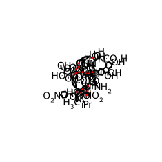 CC(C)C[C@H](C(=O)N[C@H]1C(=O)N[C@@H](CC(N)=O)C(=O)N[C@H]2C(=O)N[C@H]3C(=O)N[C@H](C(=O)N[C@H](C(=O)O)c4cc(O)cc5c4-c4cc3ccc4C5(O)O)[C@H](O)c3ccc(c(Cl)c3)Oc3cc2cc(c3O[C@@H]2O[C@H](CO)[C@@H](O)[C@H](O)[C@H]2O[C@H]2C[C@](C)(NC(=O)OCc3ccc([N+](=O)[O-])cc3)[C@H](O)[C@H](C)O2)Oc2ccc(cc2Cl)[C@H]1O)N(C)C(=O)OCc1ccc([N+](=O)[O-])cc1